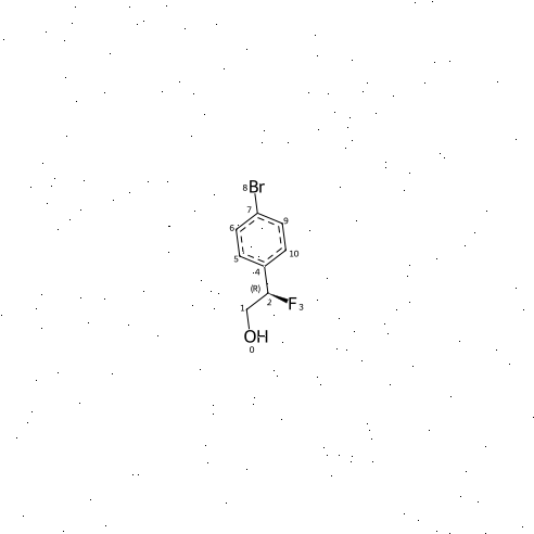 OC[C@H](F)c1ccc(Br)cc1